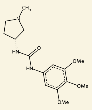 COc1cc(NC(=O)N[C@@H]2CCN(C)C2)cc(OC)c1OC